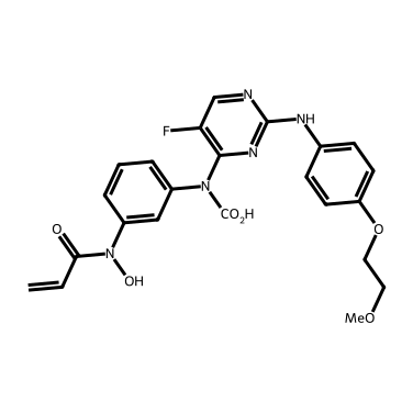 C=CC(=O)N(O)c1cccc(N(C(=O)O)c2nc(Nc3ccc(OCCOC)cc3)ncc2F)c1